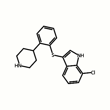 Clc1cccc2c(Sc3ccccc3C3CCNCC3)c[nH]c12